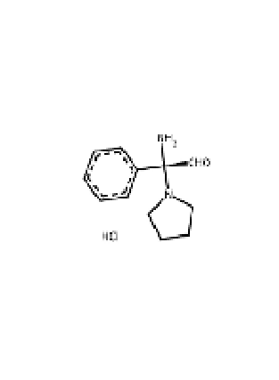 Cl.N[C@@](C=O)(c1ccccc1)N1CCCC1